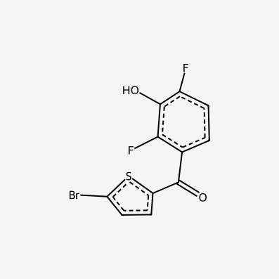 O=C(c1ccc(Br)s1)c1ccc(F)c(O)c1F